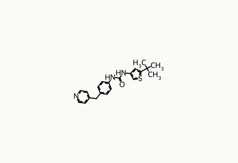 CC(C)(C)c1cc(NC(=O)Nc2ccc(Cc3ccncc3)cc2)cs1